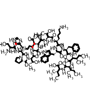 CC[C@H](C)[C@H](NC(=O)[C@@H](NC(=O)[C@@H](NC(=O)[C@H](Cc1ccccc1)NC(=O)[C@H](Cc1c[nH]c2ccccc12)NC(=O)[C@H](CCCCN)NC(=O)[C@@H](NC(=O)[C@H](CCCCN)NC(=O)[C@H](CCC(=O)O)NC(=O)[C@@H](NC(=O)[C@@H]1CCCN1C(=O)[C@H](Cc1c[nH]cn1)NC(=O)[C@@H](N)CO)[C@@H](C)O)[C@@H](C)O)[C@@H](C)CC)[C@@H](C)CC)C(=O)O